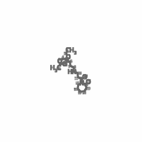 CCO[Si](C=O)(CCCNCCC(=O)N1CCCCCC1=O)OCC